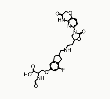 O=CNC(COc1cc(F)c2c(c1)CC(CNCCC1CN(c3ccc4c(n3)NC(=O)CO4)C(=O)O1)C2)C(=O)O